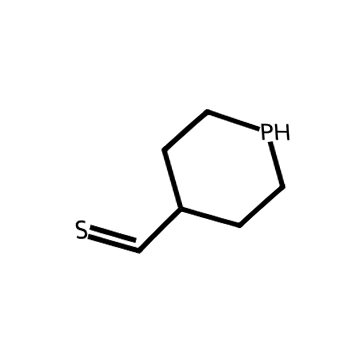 S=CC1CCPCC1